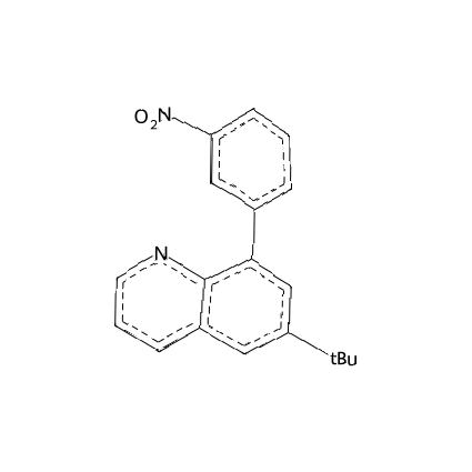 CC(C)(C)c1cc(-c2cccc([N+](=O)[O-])c2)c2ncccc2c1